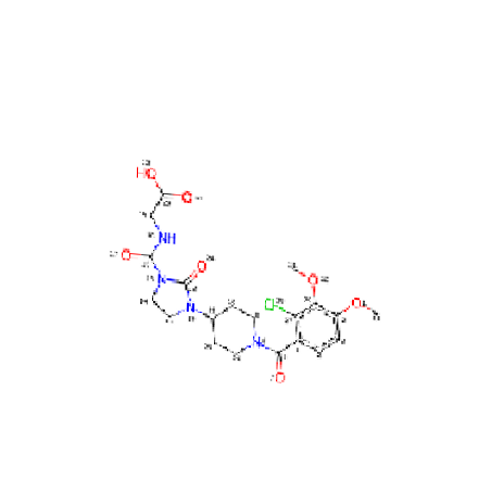 COc1ccc(C(=O)N2CCC(N3CCN(C(=O)NCC(=O)O)C3=O)CC2)c(Cl)c1OC